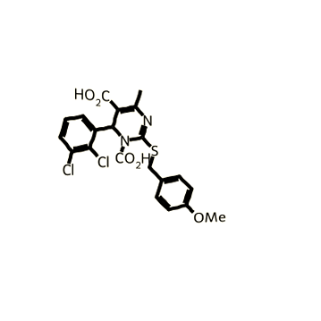 COc1ccc(CSC2=NC(C)=C(C(=O)O)C(c3cccc(Cl)c3Cl)N2C(=O)O)cc1